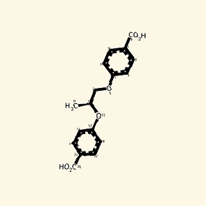 C[C@@H](COc1ccc(C(=O)O)cc1)Oc1ccc(C(=O)O)cc1